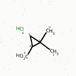 CC1(C)CC1C(=O)O.Cl